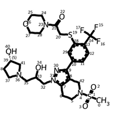 CS(=O)(=O)N1CCc2c(c(-c3ccc(C(F)(F)F)c(SCC(=O)N4CCOCC4)c3)nn2CC(O)CN2CC[C@H](O)C2)C1